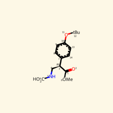 COC(=O)[C@@H](CNC(=O)O)c1ccc(OC(C)(C)C)cc1